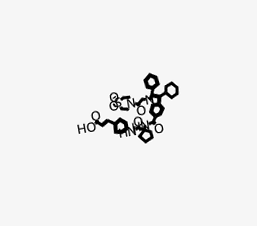 O=C(O)C=Cc1ccc(NC(=O)C2(NC(=O)c3ccc4c(C5CCCCC5)c(-c5ccccc5)n(CC(=O)N5CCS(=O)(=O)CC5)c4c3)CCCC2)cc1